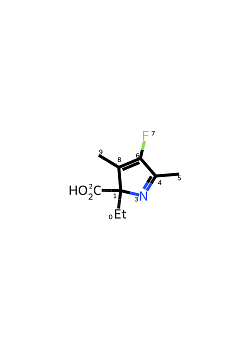 CCC1(C(=O)O)N=C(C)C(F)=C1C